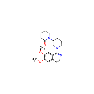 COc1cc2ccnc(N3CCCC(N4CCCCC4=O)C3)c2cc1OC